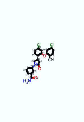 N#Cc1ccc(Cl)cc1Oc1cc(Cl)ccc1[C@H]1CC(=O)N(c2cccc(C(N)=O)c2)C1